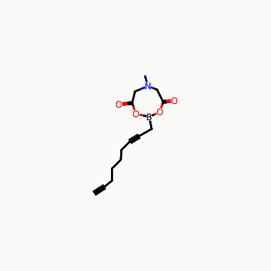 C#CCCCCC#CCB1OC(=O)CN(C)CC(=O)O1